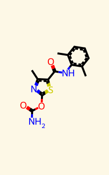 Cc1cccc(C)c1NC(=O)c1sc(OC(N)=O)nc1C